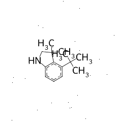 CC(C)(C)c1cccc2c1C(C)(C)CN2